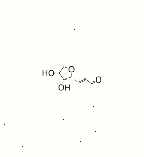 O=CC=C[C@H]1OC[C@@H](O)[C@H]1O